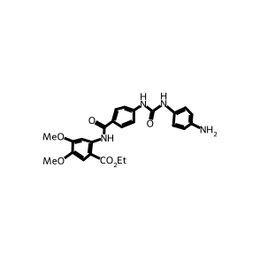 CCOC(=O)c1cc(OC)c(OC)cc1NC(=O)c1ccc(NC(=O)Nc2ccc(N)cc2)cc1